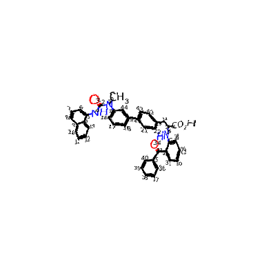 CN(C(=O)Nc1cccc2ccccc12)c1cccc(-c2ccc(CC(Nc3ccccc3C(=O)c3ccccc3)C(=O)O)cc2)c1